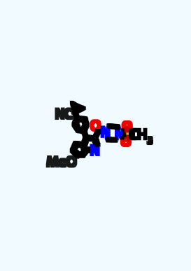 COc1ccc2c(-c3ccc(C4(C#N)CC4)cc3)c(C(=O)N3CCN(S(C)(=O)=O)CC3)cnc2c1